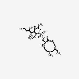 CCC1CCNC(=O)C(COP(=O)(O)O[C@@H](OC)C(NC(C)=O)C(O)C(O)CCO)NCCC(C)C1